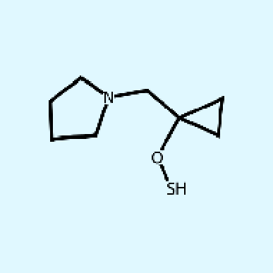 SOC1(CN2CCCC2)CC1